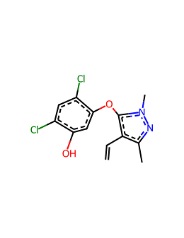 C=Cc1c(C)nn(C)c1Oc1cc(O)c(Cl)cc1Cl